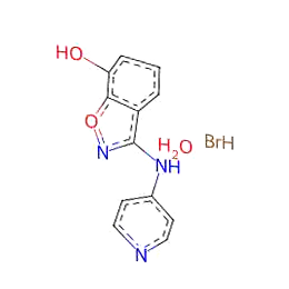 Br.O.Oc1cccc2c(Nc3ccncc3)noc12